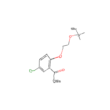 COC(=O)c1cc(Cl)ccc1OCCO[Si](C)(C)C(C)(C)C